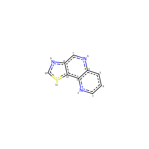 c1cnc2c(c1)ncc1ncsc12